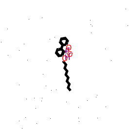 CCCCCCCCCCOc1cccc2c1[PH](=O)Oc1ccccc1-2